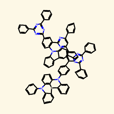 c1ccc(-c2cc(-c3cccc(-c4ccc(N5c6ccccc6B6c7ccccc7N(c7ccccc7)c7cccc5c76)cc4)c3)nc(-c3cc(-c4nc(-c5ccccc5)nc(-c5ccccc5)n4)ccc3-n3c4ccccc4c4cc(-c5nc(-c6ccccc6)nc(-c6ccccc6)n5)ccc43)n2)cc1